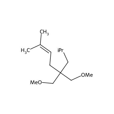 COCC(CC=C(C)C)(COC)CC(C)C